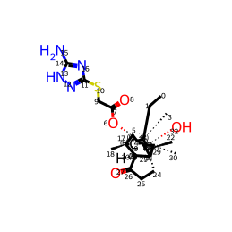 CC[C@]1(C)C[C@@H](OC(=O)CSc2n[nH]c(N)n2)[C@]2(C)CC[C@H](C)[C@@]3(CCC(=O)[C@@H]23)[C@@H](C)[C@@H]1O